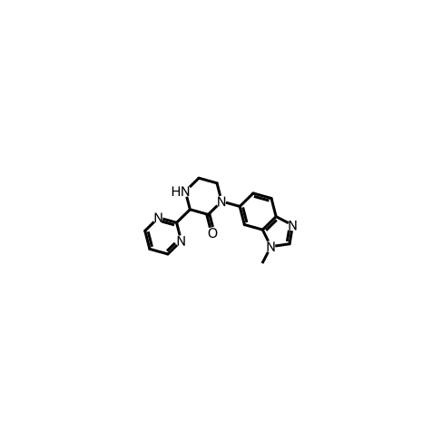 Cn1cnc2ccc(N3CCNC(c4ncccn4)C3=O)cc21